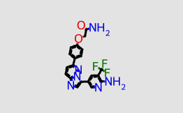 NC(=O)COc1ccc(-c2ccc3ncc(-c4cnc(N)c(C(F)(F)F)c4)n3n2)cc1